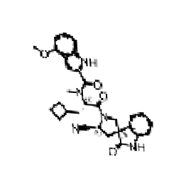 COc1cccc2[nH]c(C(=O)N(C)[C@@H](CC3CCC3)C(=O)N3C[C@]4(C[C@H]3C#N)C(=O)Nc3ccccc34)cc12